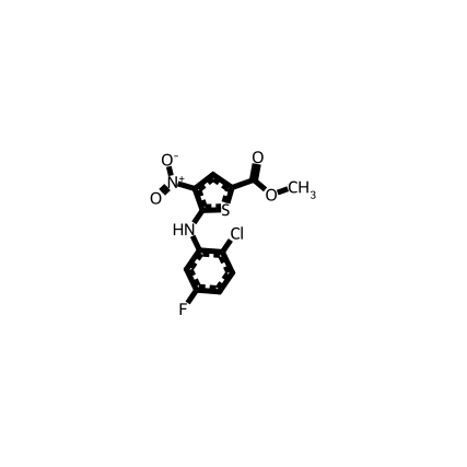 COC(=O)c1cc([N+](=O)[O-])c(Nc2cc(F)ccc2Cl)s1